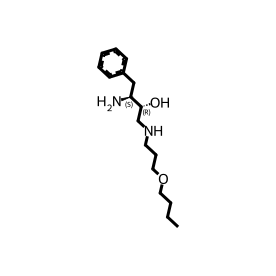 CCCCOCCCNC[C@@H](O)[C@@H](N)Cc1ccccc1